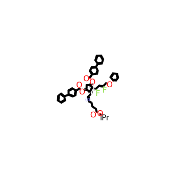 CC(C)OC(=O)CCC/C=C\C[C@@H]1[C@@H](C(F)C=C(F)COc2ccccc2)[C@H](OC(=O)c2ccc(-c3ccccc3)cc2)C[C@@H]1OC(=O)c1ccc(-c2ccccc2)cc1